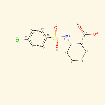 O=C(O)[C@@H]1CCCC[C@@H]1NS(=O)(=O)c1ccc(Cl)cc1